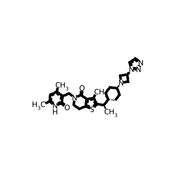 Cc1cc(C)c(CN2CCc3sc([C@H](C)[C@H]4CC[C@H](N5CC(n6ccnn6)C5)CC4)c(C)c3C2=O)c(=O)[nH]1